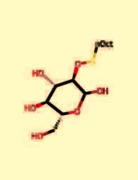 CCCCCCCCSO[C@H]1C(O)O[C@H](CO)[C@@H](O)[C@@H]1O